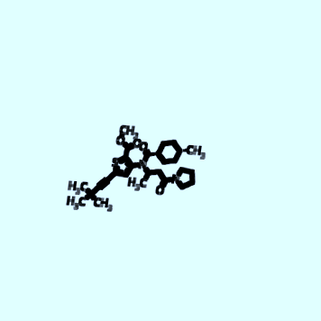 COC(=O)c1sc(C#CC(C)(C)C)cc1N(C(=O)[C@H]1CC[C@H](C)CC1)C(C)CC(=O)N1CCCC1